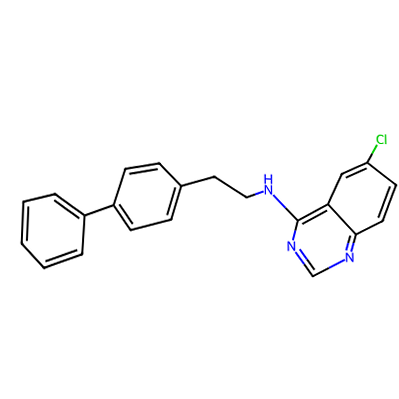 Clc1ccc2ncnc(NCCc3ccc(-c4ccccc4)cc3)c2c1